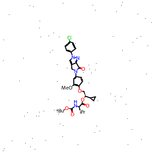 COc1cc(N2Cc3cn(-c4ccc(Cl)cc4)nc3C2=O)ccc1OC[C@H](OC(=O)C(NC(=O)OC(C)(C)C)C(C)C)C1CC1